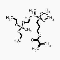 C=C(C)C(=O)OCCC[Si](OC)(OC)OC.CCO[Si](C)(OCC)OCC